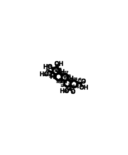 C[C@]1(C(=O)O)CC[C@]2(C(=O)O)CC[C@]3(C)C(=CC[C@@H]4[C@@]5(C)C[C@H](O)[C@H](O)[C@@](C)(CO)[C@@H]5CC[C@]43C)[C@@H]2C1